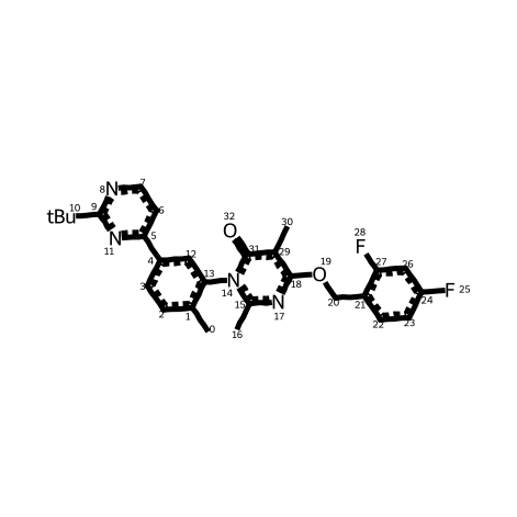 Cc1ccc(-c2ccnc(C(C)(C)C)n2)cc1-n1c(C)nc(OCc2ccc(F)cc2F)c(C)c1=O